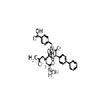 CC(C)C[C@H](CC(=O)NO)C(=O)NC(C(=O)NCc1ccc(C(=O)O)cc1)c1ccc(-c2ccccc2)cc1